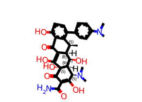 C[C@@H]1c2c(-c3ccc(N(C)C)cc3)ccc(O)c2C(=O)C2=C(O)[C@]3(O)C(=O)C(C(N)=O)=C(O)[C@@H](N(C)C)[C@@H]3[C@H](O)[C@@H]21